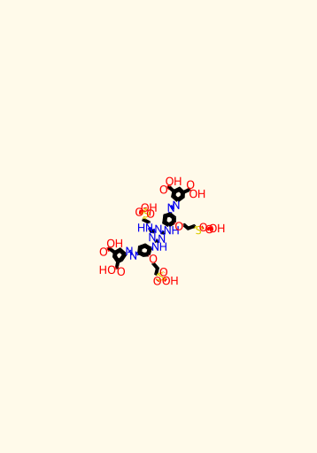 O=C(O)c1cc(N=Nc2ccc(Nc3nc(NCCS(=O)(=O)O)nc(Nc4ccc(N=Nc5cc(C(=O)O)cc(C(=O)O)c5)cc4OCCCS(=O)(=O)O)n3)c(OCCCSOOO)c2)cc(C(=O)O)c1